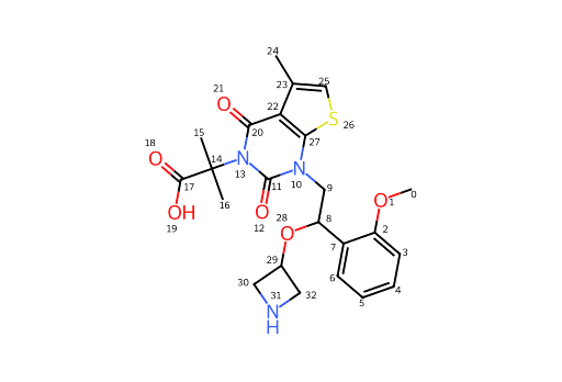 COc1ccccc1C(Cn1c(=O)n(C(C)(C)C(=O)O)c(=O)c2c(C)csc21)OC1CNC1